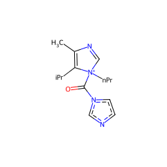 CCC[N+]1(C(=O)n2ccnc2)C=NC(C)=C1C(C)C